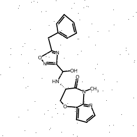 CN1C(=O)[C@@H](NC(O)c2noc(Cc3ccccc3)n2)COc2cccnc21